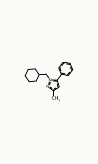 Cc1cc(-c2ccccc2)n(CC2CCCCC2)n1